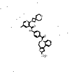 Cc1cnc(N2CC3(CCOCC3)C2)c(C(=O)Nc2ccc(C(=O)N3CCc4sc(C(=O)O)cc4-c4ccccc43)cc2)c1